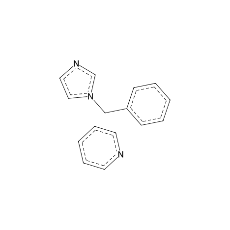 c1ccc(Cn2ccnc2)cc1.c1ccncc1